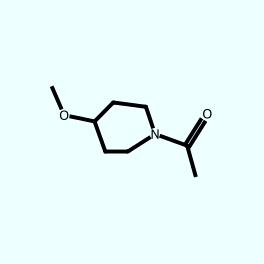 COC1CCN(C(C)=O)CC1